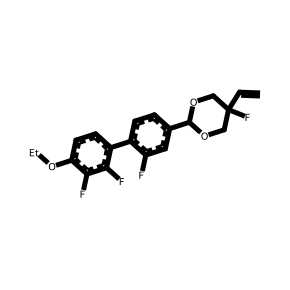 C=CC1(F)COC(c2ccc(-c3ccc(OCC)c(F)c3F)c(F)c2)OC1